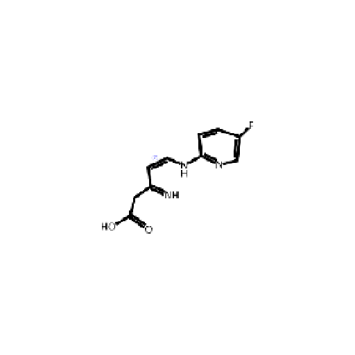 N=C(/C=C\Nc1ccc(F)cn1)CC(=O)O